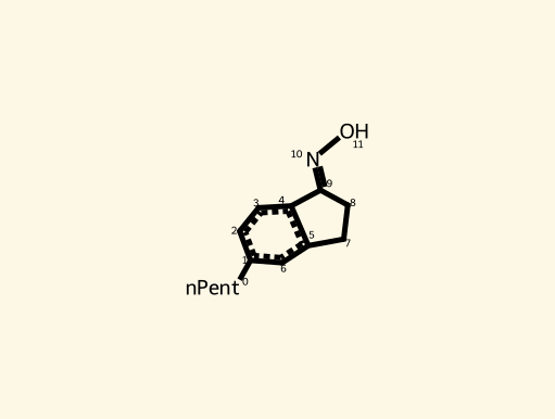 CCCCCc1ccc2c(c1)CCC2=NO